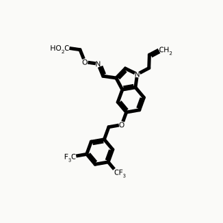 C=CCn1cc(C=NOCC(=O)O)c2cc(OCc3cc(C(F)(F)F)cc(C(F)(F)F)c3)ccc21